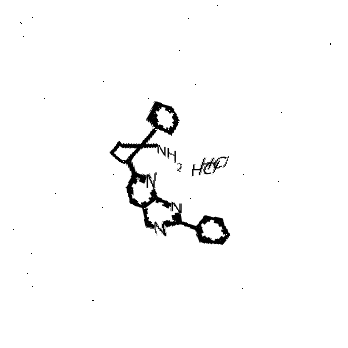 Cl.Cl.NC1(c2ccccc2)CCC1c1ccc2cnc(-c3ccccc3)nc2n1